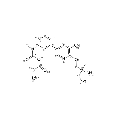 CC(C)CC(C)(N)COc1ncc(-c2ccnc(N(C)C(=O)OC(=O)OC(C)(C)C)c2)cc1C#N